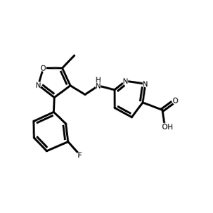 Cc1onc(-c2cccc(F)c2)c1CNc1ccc(C(=O)O)nn1